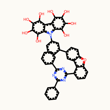 Oc1c(O)c(O)c2c(c1O)c1c(O)c(O)c(O)c(O)c1n2-c1cccc(-c2ccc3oc4cccc(-c5nc(-c6ccccc6)nc(-c6ccccc6)n5)c4c3c2)c1